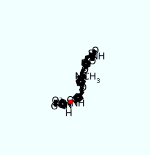 Cn1c(COc2ccc(CC3SC(=O)NC3=O)cc2)nc2ccc(OCCc3ccc(NC(=O)Nc4ccc([N+](=O)[O-])cc4)cc3)cc21